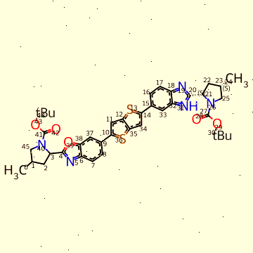 CC1CC(c2nc3ccc(-c4cc5sc(-c6ccc7nc([C@@H]8C[C@H](C)CN8C(=O)OC(C)(C)C)[nH]c7c6)cc5s4)cc3o2)N(C(=O)OC(C)(C)C)C1